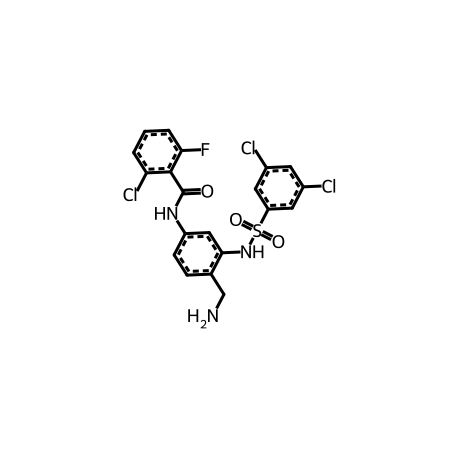 NCc1ccc(NC(=O)c2c(F)cccc2Cl)cc1NS(=O)(=O)c1cc(Cl)cc(Cl)c1